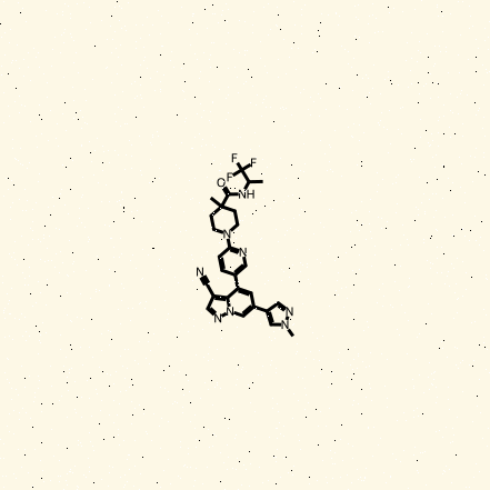 CC(NC(=O)C1(C)CCN(c2ccc(-c3cc(-c4cnn(C)c4)cn4ncc(C#N)c34)cn2)CC1)C(F)(F)F